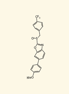 COc1ccc(-c2ccc3nc([S+]([O-])Cc4ccc(C(F)(F)F)cc4)oc3c2)cc1